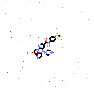 O=C(Nc1ccc(OC(F)(F)Cl)cc1)c1cnc(N2CC[C@@H](O)C2)c(N(c2ccncc2)N2CCNCC2)c1